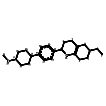 CCC1CCC2=C(CCC(c3ccc(C4CCC(OC)CC4)cc3)O2)C1